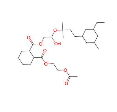 CCC1CC(C)CC(CCC(C)(C)OC(O)COC(=O)C2CCCCC2C(=O)OCCOC(C)=O)C1